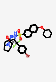 NC1CC2CCC(C1)N2C(=O)[C@H](NS(=O)(=O)c1ccc2cc(OC3CCCCC3)ccc2c1)C(F)(F)c1ccc(Br)cc1